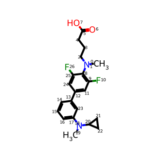 CN(CCCC(=O)O)c1c(F)cc(-c2cccc(N(C)C3CC3)c2)cc1F